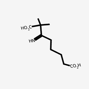 CC(C)(C(=N)CCCCC(=O)O)C(=O)O